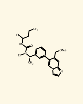 CCC(CCC(F)(F)F)NC(=O)N(CC)[C@H](C)c1cccc(-c2cn3ccnc3cc2COC)c1